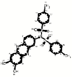 Cc1ccc(S(=O)(=O)N(c2ccc3nc4cc(O)c(O)cc4nc3c2)S(=O)(=O)c2ccc(C)cc2)cc1